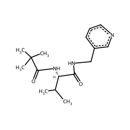 CC(C)[C@H](NC(=O)C(C)(C)C)C(=O)NCc1cccnc1